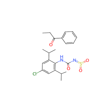 CC(C)c1cc(Cl)cc(C(C)C)c1NC(=O)N=S(=O)=O.CCC(=O)c1ccccc1